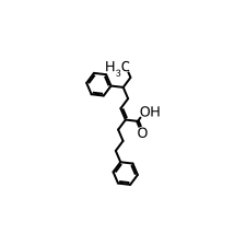 CCC(CC=C(CCCc1ccccc1)C(=O)O)c1ccccc1